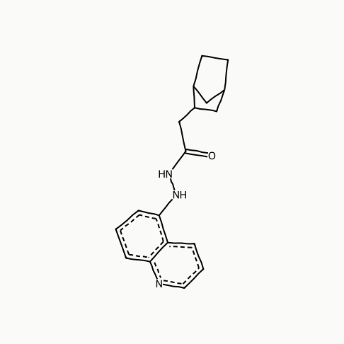 O=C(CC1CC2CCC1C2)NNc1cccc2ncccc12